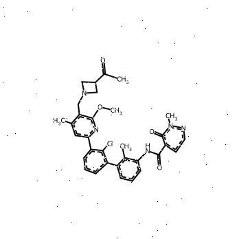 COc1nc(-c2cccc(-c3cccc(NC(=O)c4ccnn(C)c4=O)c3C)c2Cl)cc(C)c1CN1CC(C(C)=O)C1